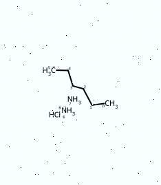 CCCCCC.Cl.N.N